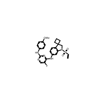 C=CS(=O)(=O)N1CC2(CCC2)c2ccc(Nc3nc(Nc4ccc(OC)cc4)ncc3F)cc21